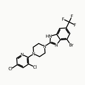 FC(F)(F)c1cc(Br)c2nc(N3CCN(c4ncc(Cl)cc4Cl)CC3)[nH]c2c1